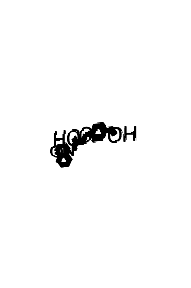 OCc1ccc(OCC(O)CN2CCOc3ccccc32)cc1